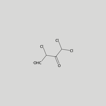 O=[C]C(Cl)C(=O)C(Cl)Cl